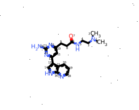 CN(C)CCNC(=O)CCc1cc(-c2c[nH]c3ncccc23)nc(N)n1